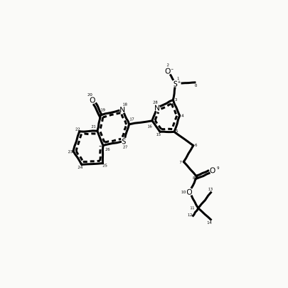 C[S+]([O-])c1cc(CCC(=O)OC(C)(C)C)cc(-c2nc(=O)c3ccccc3s2)n1